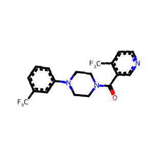 O=C(c1cnccc1C(F)(F)F)N1CCN(c2cccc(C(F)(F)F)c2)CC1